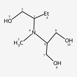 CCC(CO)N(C)C(CO)CO